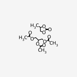 CC(=O)OCC(COC(C)=O)OC(C)=O.CC1COC(=O)O1